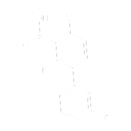 COc1c(C)cc(-c2cccc(F)c2)c(I)c1B(O)O